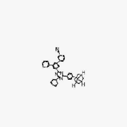 N#Cc1cccc(-c2cc(-c3ccccc3)cc(-c3nc(-c4ccccc4)nc(-c4ccc(C56C[C@H]7C[C@@H](C5)C[C@@H](C6)C7)cc4)n3)c2)c1